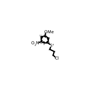 COc1cc(SCCCCl)cc([N+](=O)[O-])c1